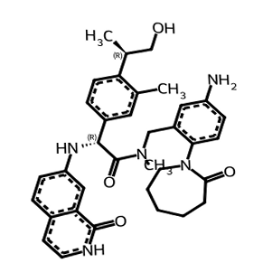 Cc1cc([C@@H](Nc2ccc3cc[nH]c(=O)c3c2)C(=O)N(C)Cc2cc(N)ccc2N2CCCCCC2=O)ccc1[C@@H](C)CO